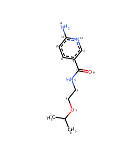 CC(C)OCCNC(=O)c1ccc(N)nc1